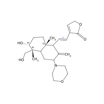 C=C1C(N2CCOCC2)CC2[C@](C)(CC[C@@H](O)[C@@]2(C)CO)C1/C=C/C1=CCOC1=O